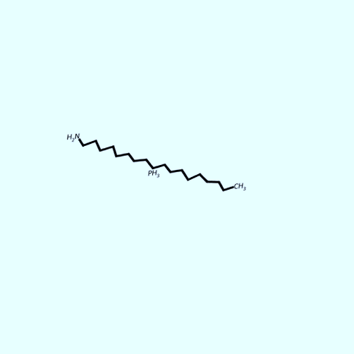 CCCCCCCCCCCCCCCCCCN.P